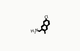 Cc1cc2ccc(Cl)cc2cc1CN